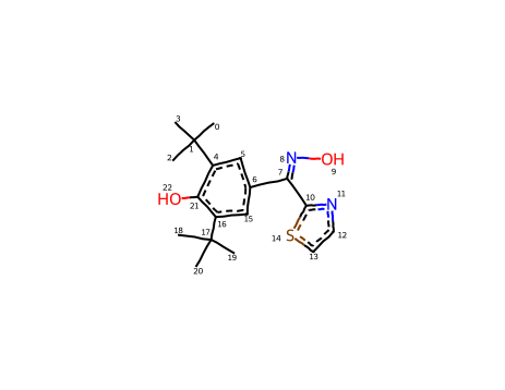 CC(C)(C)c1cc(C(=NO)c2nccs2)cc(C(C)(C)C)c1O